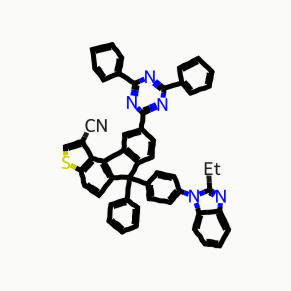 CCc1nc2ccccc2n1-c1ccc(C2(c3ccccc3)c3ccc(-c4nc(-c5ccccc5)nc(-c5ccccc5)n4)cc3-c3c2ccc2scc(C#N)c32)cc1